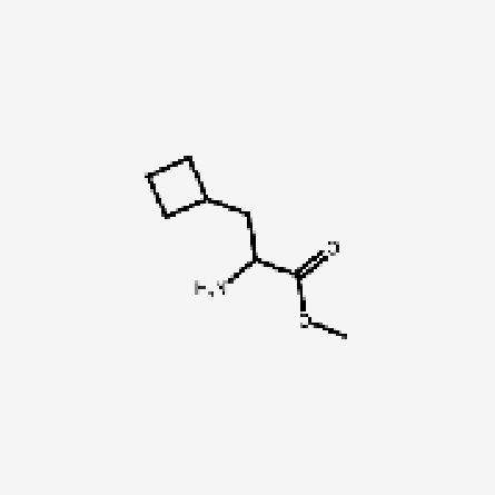 COC(=O)C(N)CC1CCC1